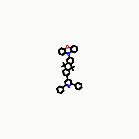 CC1(C)c2ccc(N3c4ccccc4Oc4ccccc43)cc2C(C)(C)c2ccc(-c3cc(-c4ccccc4)nc(-c4ccccc4)c3)cc21